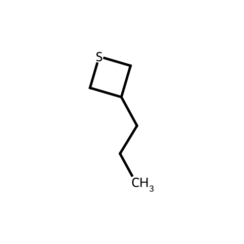 CCCC1CSC1